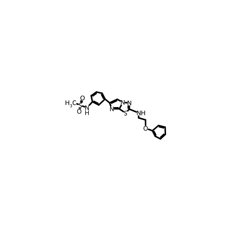 CS(=O)(=O)Nc1cccc(-c2cn3nc(NCCOc4ccccc4)sc3n2)c1